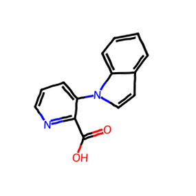 O=C(O)c1ncccc1-n1ccc2ccccc21